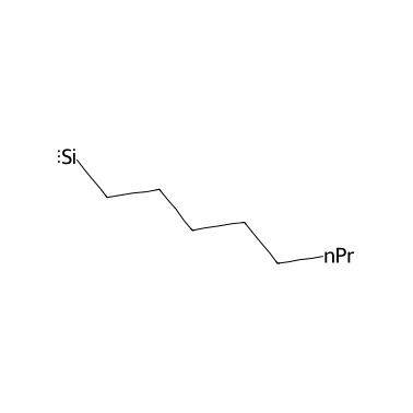 CCCCCCCC[Si]